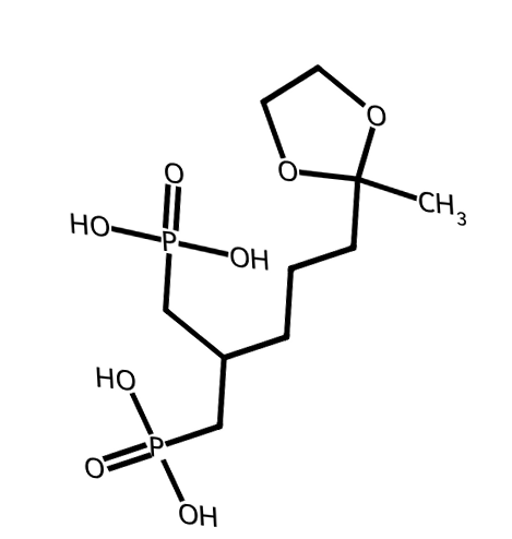 CC1(CCCC(CP(=O)(O)O)CP(=O)(O)O)OCCO1